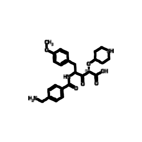 COc1ccc(CC(NC(=O)c2ccc(CN)cc2)C(=O)[C@H](OC2CCNCC2)C(=O)O)cc1